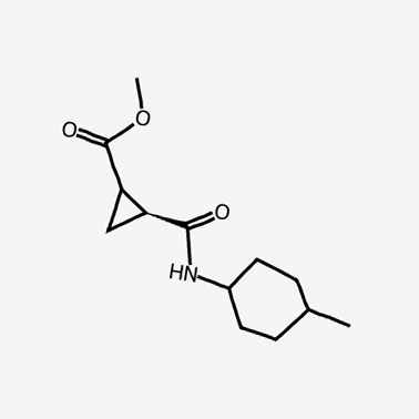 COC(=O)C1C[C@@H]1C(=O)NC1CCC(C)CC1